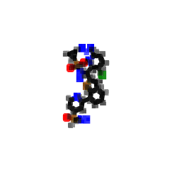 C[S@](=N)(=O)c1ccnc(-c2cccc3cc([C@@H](NS(=O)(=O)C4CC4)c4nc(N)ccc4Cl)sc23)c1